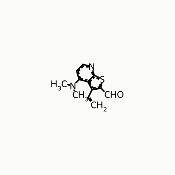 C=Cc1c(C=O)sc2nccc(N(C)C)c12